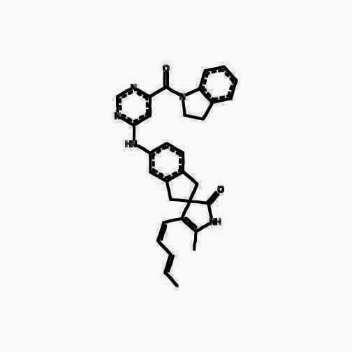 CC=C/C=C\C1=C(C)NC(=O)C12Cc1ccc(Nc3cc(C(=O)N4CCc5ccccc54)ncn3)cc1C2